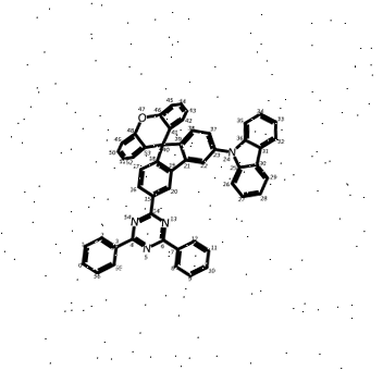 c1ccc(-c2nc(-c3ccccc3)nc(-c3ccc4c(c3)-c3cc(-n5c6ccccc6c6ccccc65)ccc3C43c4ccccc4Oc4ccccc43)n2)cc1